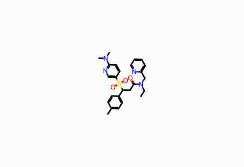 CCN(Cc1ccccn1)C(=O)CC(c1ccc(C)cc1)S(=O)(=O)c1ccc(N(C)C)nc1